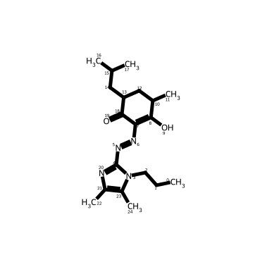 CCCn1c(N=NC2=C(O)C(C)CC(CC(C)C)C2=O)nc(C)c1C